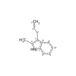 C=CCc1c(C)[nH]c2ccccc12